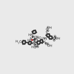 Cc1ccc(-c2ccc(/N=N/c3c(S(=O)(=O)O)cc4cc(SOOO)c(/N=N/c5cc(SOOO)cc6cc(S(=O)(=O)O)ccc56)c(O)c4c3Nc3nc(O)nc(Nc4ccccc4)n3)cc2)cc1